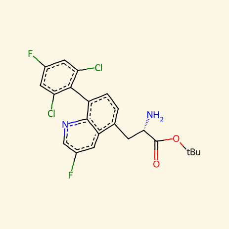 CC(C)(C)OC(=O)[C@@H](N)Cc1ccc(-c2c(Cl)cc(F)cc2Cl)c2ncc(F)cc12